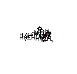 CC(C)(C)OC(=O)N1[C@@H]2CC[C@H]1CN(c1nc(Cl)nc3c1COC1(C3)c3ccccc3-c3nn(COCC[Si](C)(C)C)cc31)C2